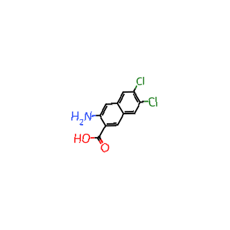 Nc1cc2cc(Cl)c(Cl)cc2cc1C(=O)O